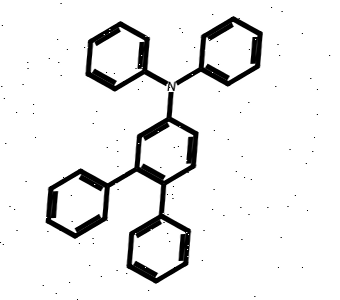 c1ccc(-c2ccc(N(c3ccccc3)c3ccccc3)cc2-c2ccccc2)cc1